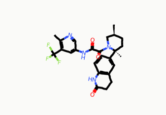 Cc1ncc(NC(=O)C(=O)N2C[C@@H](C)CC[C@@]2(C)c2ccc3c(c2)CCC(=O)N3)cc1C(F)(F)F